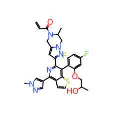 C=CC(=O)N1Cc2cc(-c3nc(-c4cnn(C)c4)c4ccsc4c3-c3c(F)cc(F)cc3OCC(C)O)nn2CC1C